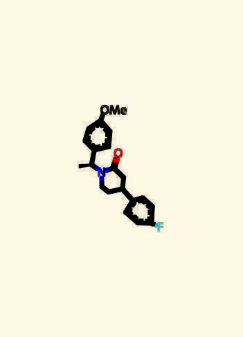 COc1ccc([C@H](C)N2CCC(c3ccc(F)cc3)CC2=O)cc1